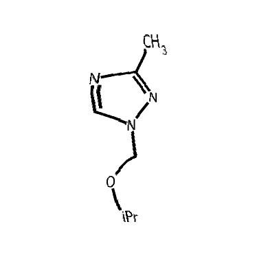 Cc1ncn(COC(C)C)n1